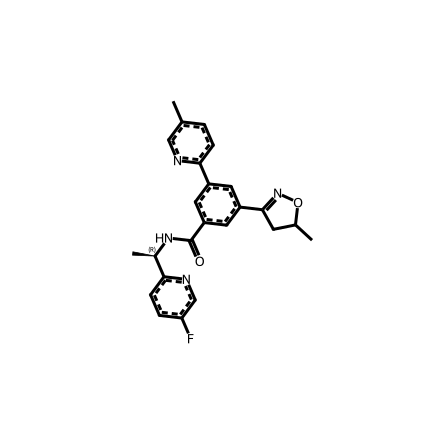 Cc1ccc(-c2cc(C(=O)N[C@H](C)c3ccc(F)cn3)cc(C3=NOC(C)C3)c2)nc1